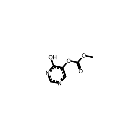 COC(=O)Oc1cncnc1O